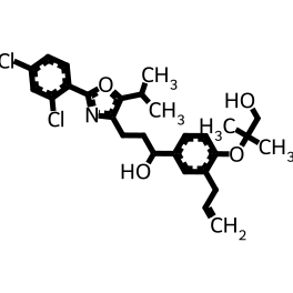 C=CCc1cc(C(O)CCc2nc(-c3ccc(Cl)cc3Cl)oc2C(C)C)ccc1OC(C)(C)CO